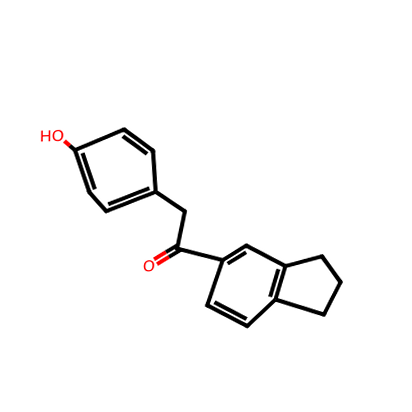 O=C(Cc1ccc(O)cc1)c1ccc2c(c1)CCC2